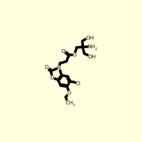 CCOc1cc2oc(=O)n(CCC(=O)OCC(N)(CO)CO)c2cc1Cl